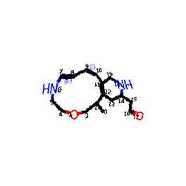 CC1COCCN/C=C/C=C\C2=C1CC(CC=O)NC2